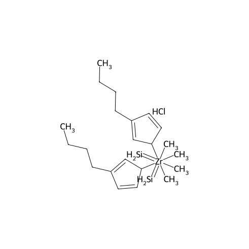 CCCCC1=C[CH]([Zr]([CH3])([CH3])([CH3])([CH3])(=[SiH2])(=[SiH2])[CH]2C=CC(CCCC)=C2)C=C1.Cl